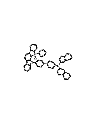 O=P1(c2ccccc2)c2ccccc2-c2ccc3c4ccccc4n(-c4ccc(-c5ccc(N(c6ccc7ccccc7c6)c6ccc7ccccc7c6)cc5)cc4)c3c21